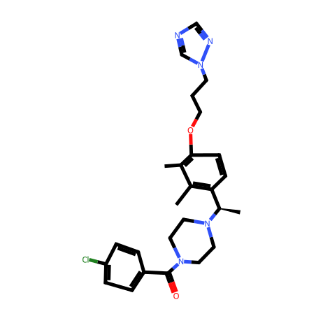 Cc1c(OCCCn2cncn2)ccc([C@@H](C)N2CCN(C(=O)c3ccc(Cl)cc3)CC2)c1C